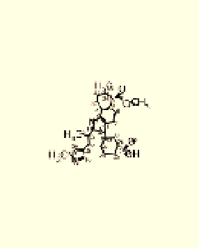 COC(=O)N1c2ccc3c(nc(C(C)Cc4cnn(C)c4)n3[C@@H]3CCC[C@@H](C(=O)O)C3)c2CC[C@@H]1C